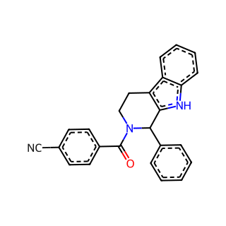 N#Cc1ccc(C(=O)N2CCc3c([nH]c4ccccc34)C2c2ccccc2)cc1